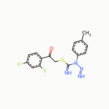 Cc1ccc(N(N=N)C(=N)SCC(=O)c2ccc(F)cc2F)cc1